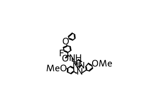 COc1ccc(CN(Cc2ccc(OC)cc2)c2nccc(CNC(=O)c3ccc(Oc4ccccc4)cc3F)n2)cc1